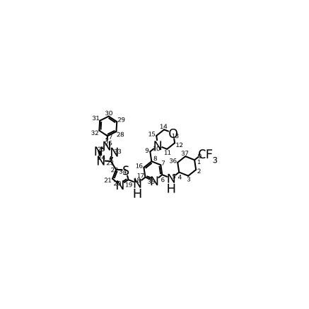 FC(F)(F)C1CCC(Nc2cc(CN3CCOCC3)cc(Nc3ncc(-c4nnn(-c5ccccc5)n4)s3)n2)CC1